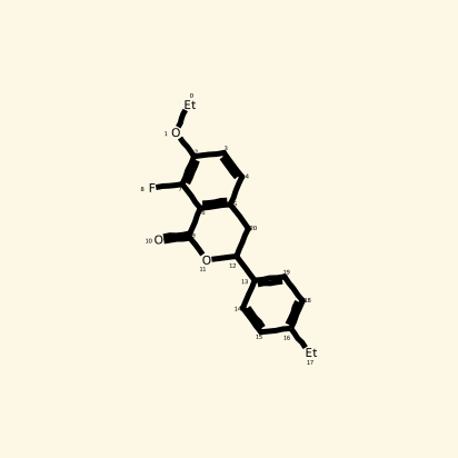 CCOc1ccc2c(c1F)C(=O)OC(c1ccc(CC)cc1)C2